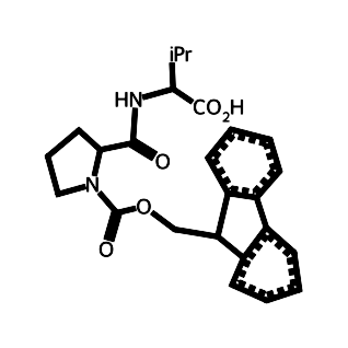 CC(C)C(NC(=O)C1CCCN1C(=O)OCC1c2ccccc2-c2ccccc21)C(=O)O